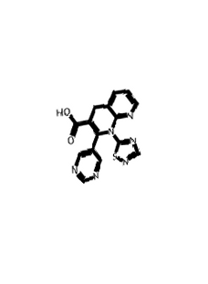 O=C(O)C1=C(c2cncnc2)N(c2ncns2)c2ncccc2C1